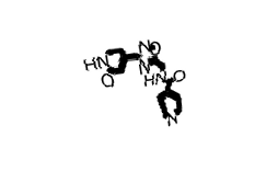 O=C(NCc1nc(-c2cc[nH]c(=O)c2)no1)c1ccncc1